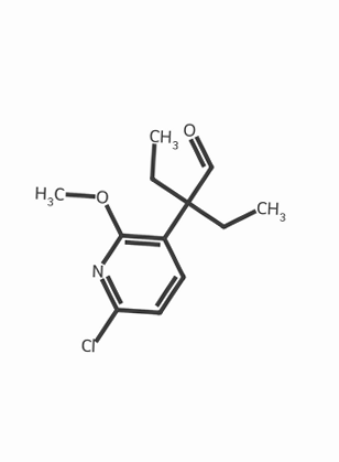 CCC(C=O)(CC)c1ccc(Cl)nc1OC